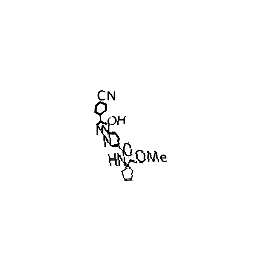 COCCC1(NC(=O)c2ccc(-n3ncc(-c4ccc(C#N)cc4)c3O)nc2)CCCC1